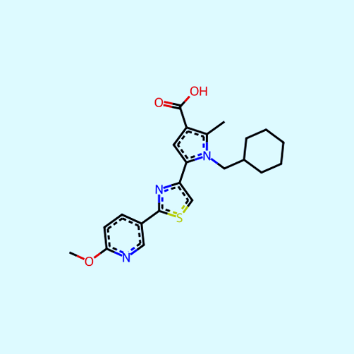 COc1ccc(-c2nc(-c3cc(C(=O)O)c(C)n3CC3CCCCC3)cs2)cn1